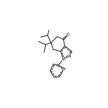 CC(C)C1(C(C)C)CC(=O)c2cnn(-c3ccccn3)c2C1